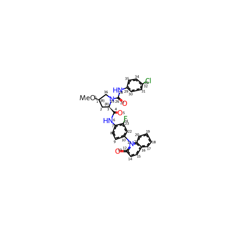 CO[C@@H]1C[C@H](C(=O)Nc2ccc(-n3c(=O)ccc4ccccc43)cc2F)N(C(=O)Nc2ccc(Cl)cc2)C1